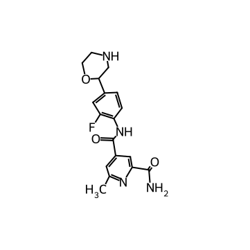 Cc1cc(C(=O)Nc2ccc(C3CNCCO3)cc2F)cc(C(N)=O)n1